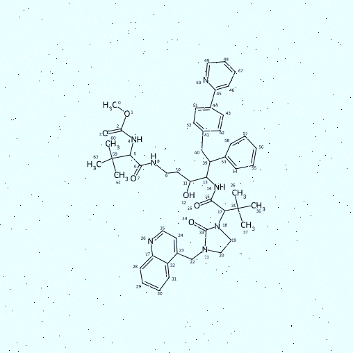 COC(=O)NC(C(=O)NCCC(O)C(NC(=O)C(N1CCN(Cc2ccnc3ccccc23)C1=O)C(C)(C)C)C(Cc1ccc(-c2ccccn2)cc1)c1ccccc1)C(C)(C)C